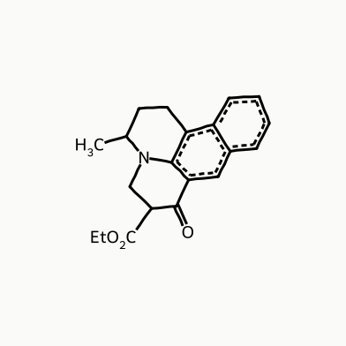 CCOC(=O)C1CN2c3c(cc4ccccc4c3CCC2C)C1=O